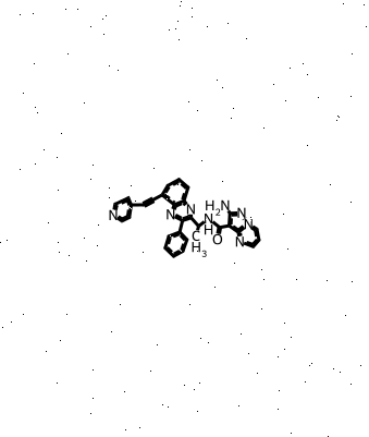 CC(NC(=O)c1c(N)nn2cccnc12)c1nc2cccc(C#Cc3ccncc3)c2nc1-c1ccccc1